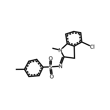 Cc1ccc(S(=O)(=O)N=C2Cc3c(Cl)cccc3N2C)cc1